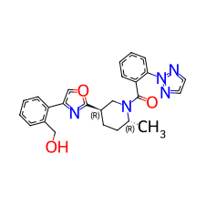 C[C@@H]1CC[C@@H](c2nc(-c3ccccc3CO)co2)CN1C(=O)c1ccccc1-n1nccn1